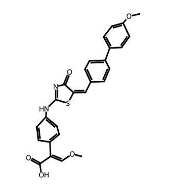 CO/C=C(/C(=O)O)c1ccc(NC2=NC(=O)/C(=C\c3ccc(-c4ccc(OC)cc4)cc3)S2)cc1